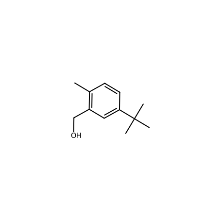 Cc1ccc(C(C)(C)C)cc1CO